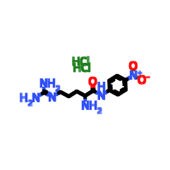 Cl.Cl.NC(N)=NCCCC(N)C(=O)Nc1ccc([N+](=O)[O-])cc1